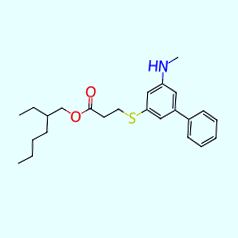 CCCCC(CC)COC(=O)CCSc1cc(NC)cc(-c2ccccc2)c1